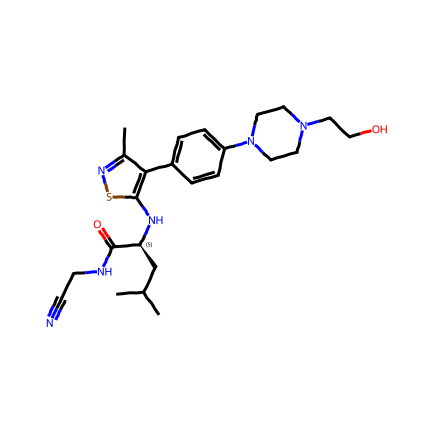 Cc1nsc(N[C@@H](CC(C)C)C(=O)NCC#N)c1-c1ccc(N2CCN(CCO)CC2)cc1